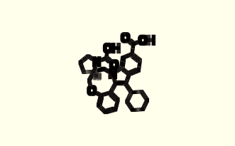 O=C(O)c1ccc2c(C3CCCCC3)c3n(c2c1)C[C@]1(CCCN1C(=O)O)COc1ccccc1-3